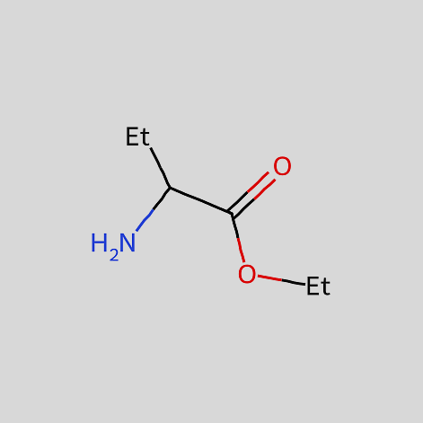 CCOC(=O)C(N)CC